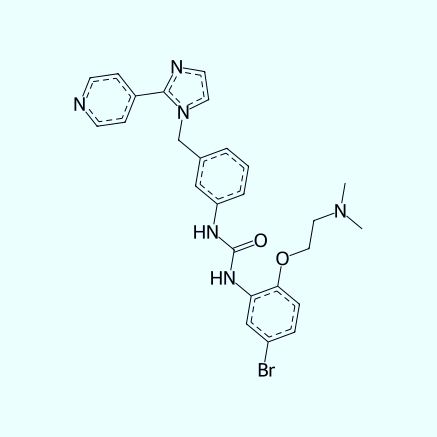 CN(C)CCOc1ccc(Br)cc1NC(=O)Nc1cccc(Cn2ccnc2-c2ccncc2)c1